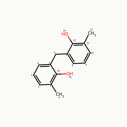 Cc1cccc(Cc2cccc(C)c2O)c1O